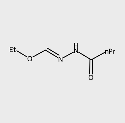 CCCC(=O)N/N=C/OCC